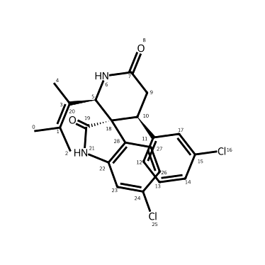 CC(C)=C(C)[C@H]1NC(=O)C[C@@H](c2cccc(Cl)c2)[C@]12C(=O)Nc1cc(Cl)ccc12